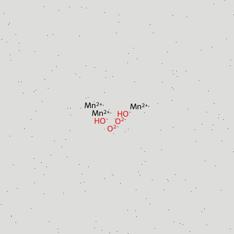 [Mn+2].[Mn+2].[Mn+2].[O-2].[O-2].[OH-].[OH-]